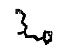 CC(C)CCCC(C)C/C=C/c1ccoc1